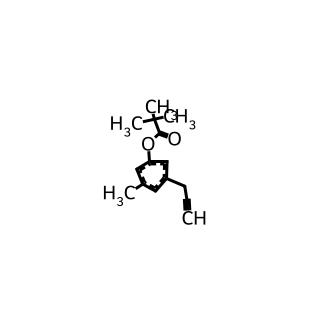 C#CCc1cc(C)cc(OC(=O)C(C)(C)C)c1